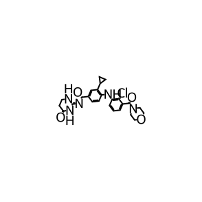 O=C1CCN/C(=N\C(=O)c2ccc(Nc3cccc(C(=O)N4CCOCC4)c3Cl)c(C3CC3)c2)N1